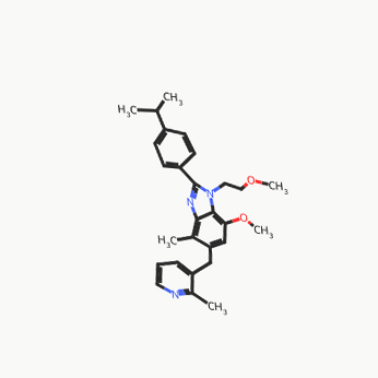 COCCn1c(-c2ccc(C(C)C)cc2)nc2c(C)c(Cc3cccnc3C)cc(OC)c21